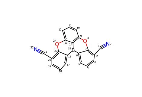 N#Cc1cccc2c1Oc1cccc3c1B2c1cccc(C#N)c1O3